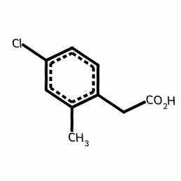 Cc1cc(Cl)ccc1CC(=O)O